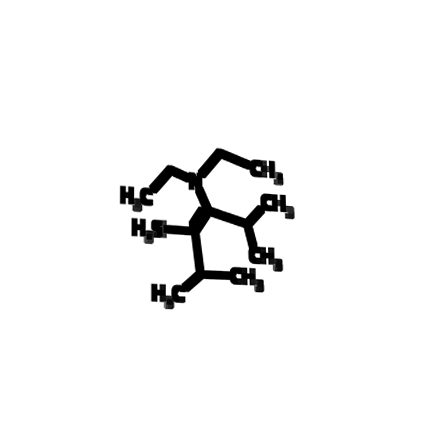 CCN(CC)C(=C([SiH3])C(C)C)C(C)C